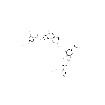 CCc1[nH]c(C)cc1C(=O)Nc1nc2c(OC)cc(C(N)=O)c(CCCCOc3cc(C(N)=O)cc4nc(NC(=O)c5cc(C)nn5CC)n(C)c34)c2[nH]1